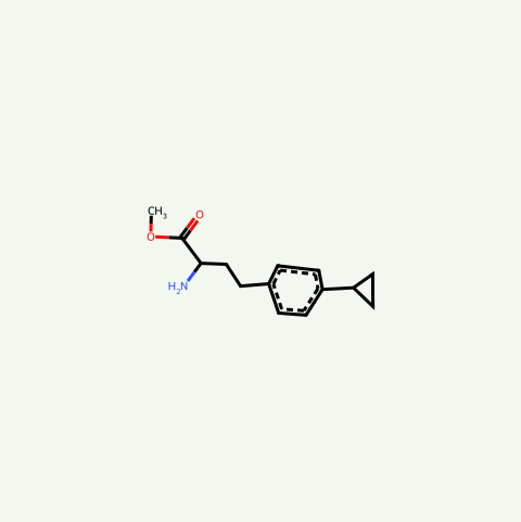 COC(=O)C(N)CCc1ccc(C2CC2)cc1